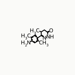 Cc1cc(C2=NNC(=O)CC2C)c(C)cc1N